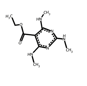 CCOC(=O)c1c(NC)nc(NC)nc1NC